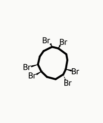 Br[C@@H]1CC[C@@H](Br)[C@@H](Br)CC[C@@H](Br)[C@@H](Br)CC[C@H]1Br